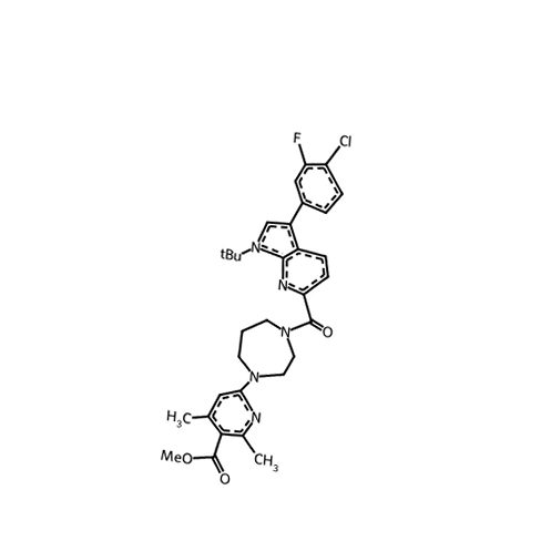 COC(=O)c1c(C)cc(N2CCCN(C(=O)c3ccc4c(-c5ccc(Cl)c(F)c5)cn(C(C)(C)C)c4n3)CC2)nc1C